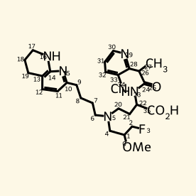 COC(CF)CN(CCCCc1ccc2c(n1)NCCC2)CCC(NC(=O)C(C)c1ncccc1C#N)C(=O)O